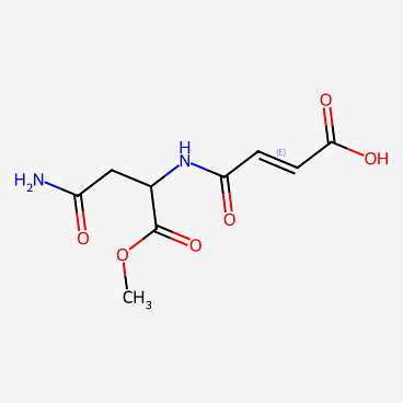 COC(=O)C(CC(N)=O)NC(=O)/C=C/C(=O)O